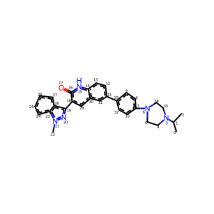 CC(C)N1CCN(c2ccc(-c3ccc4[nH]c(=O)c(-c5nn(C)c6ccccc56)cc4c3)cc2)CC1